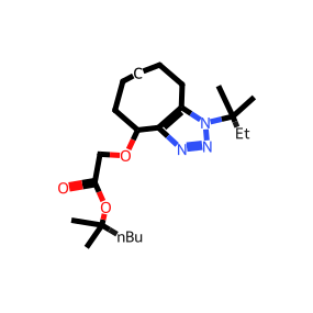 CCCCC(C)(C)OC(=O)COC1CCCCCc2c1nnn2C(C)(C)CC